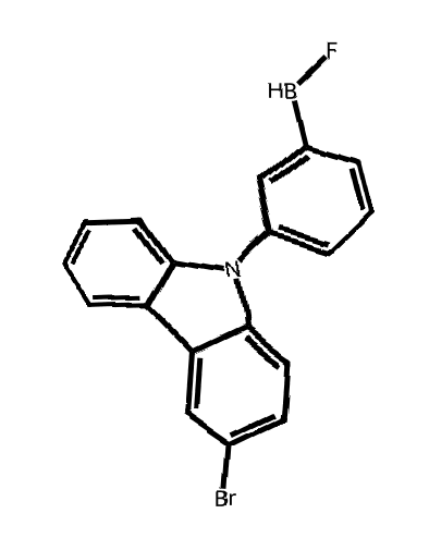 FBc1cccc(-n2c3ccccc3c3cc(Br)ccc32)c1